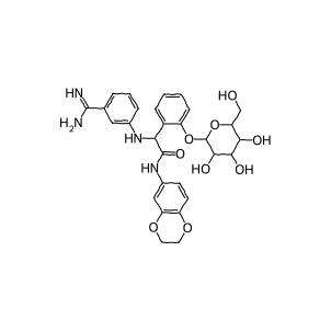 N=C(N)c1cccc(NC(C(=O)Nc2ccc3c(c2)OCCO3)c2ccccc2OC2OC(CO)C(O)C(O)C2O)c1